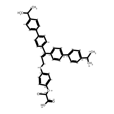 CC(C)c1ccc(-c2ccc(C(=CCSc3ccc(OC(Cl)C(=O)O)cc3)c3ccc(-c4ccc(C(C)C)cc4)cc3)cc2)cc1